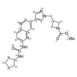 CC(C)(C)OC(=O)N1CC(Cn2cc(-c3cnc4ccc(NC(=O)NC5CCCC5)nc4c3)cn2)C1